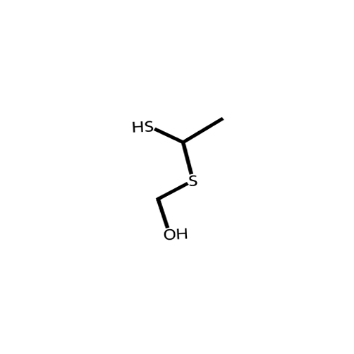 CC(S)SCO